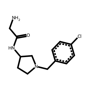 NCC(=O)NC1CCN(Cc2ccc(Cl)cc2)C1